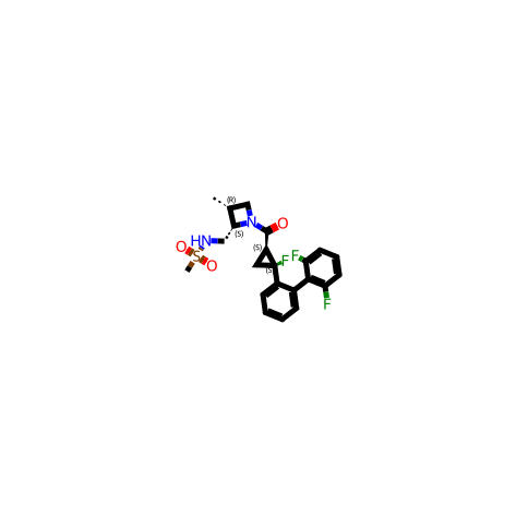 C[C@@H]1CN(C(=O)[C@@H]2C[C@@]2(F)c2ccccc2-c2c(F)cccc2F)[C@@H]1CNS(C)(=O)=O